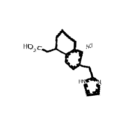 Cl.O=C(O)CC1CCCc2cc(Cc3ncc[nH]3)ccc21